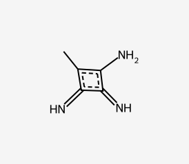 Cc1c(N)c(=N)c1=N